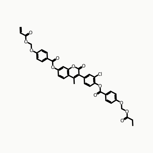 C=CC(=O)OCOc1ccc(C(=O)Oc2ccc3c(C)c(-c4ccc(OC(=O)c5ccc(OCOC(=O)CC)cc5)c(Cl)c4)c(=O)oc3c2)cc1